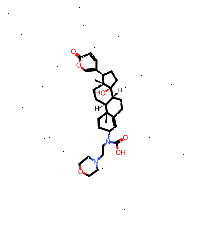 C[C@]12CC[C@H](N(CCN3CCOCC3)C(=O)O)C=C1CC[C@@H]1[C@@H]2CC[C@]2(C)[C@@H](c3ccc(=O)oc3)CC[C@]12O